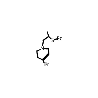 CCSC(C)CN1CC=C(C(C)C)CC1